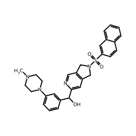 CN1CCN(c2cccc(C(O)c3cc4c(cn3)CN(S(=O)(=O)c3ccc5ccccc5c3)C4)c2)CC1